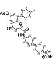 COc1cc(N2CCN(C)CC2)c2oc(C(=O)Nc3ccc(N4CCN(S(=O)(=O)C(C)C)CC4)cc3)cc(=O)c2c1